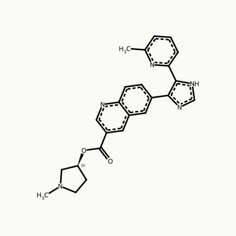 Cc1cccc(-c2[nH]cnc2-c2ccc3ncc(C(=O)O[C@H]4CCN(C)C4)cc3c2)n1